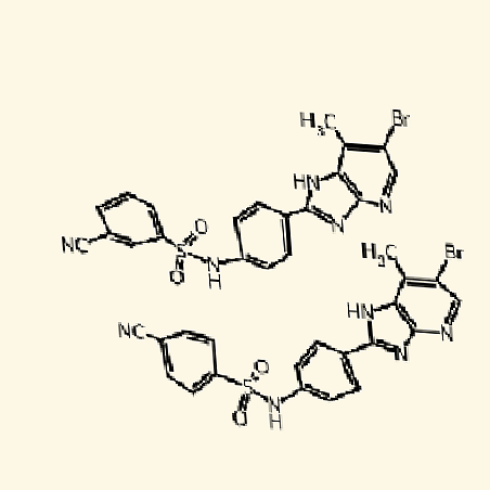 Cc1c(Br)cnc2nc(-c3ccc(NS(=O)(=O)c4ccc(C#N)cc4)cc3)[nH]c12.Cc1c(Br)cnc2nc(-c3ccc(NS(=O)(=O)c4cccc(C#N)c4)cc3)[nH]c12